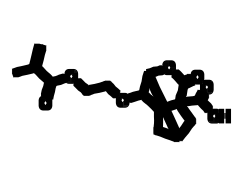 C=C(C)C(=O)OCCOC1C2OC(=O)C3(C(=O)O)CC2CC13